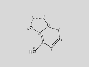 OC1=C2OCCC2CC=C1